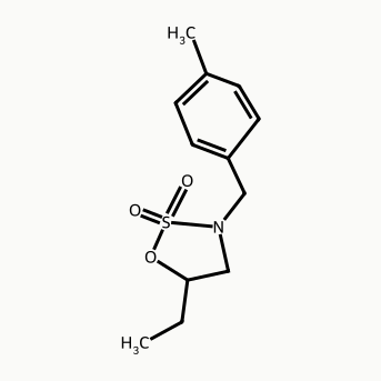 CCC1CN(Cc2ccc(C)cc2)S(=O)(=O)O1